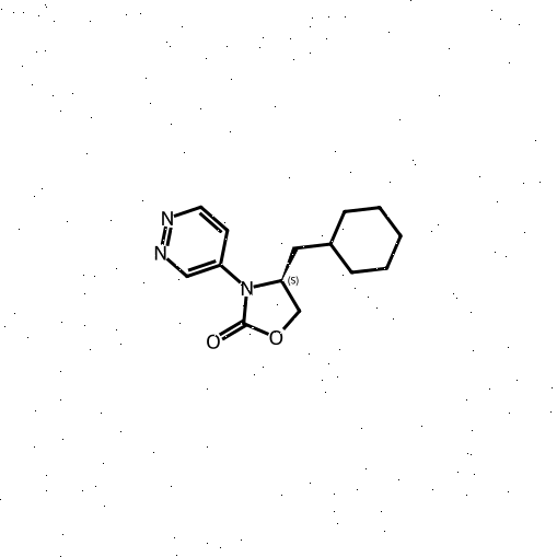 O=C1OC[C@H](CC2CCCCC2)N1c1ccnnc1